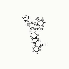 CCOC(=O)C1=C(CN2C=C3CN(c4ccccc4C(=O)O)C(=O)N3CC2)NC(c2nccs2)=NC1c1cccc(F)c1Cl